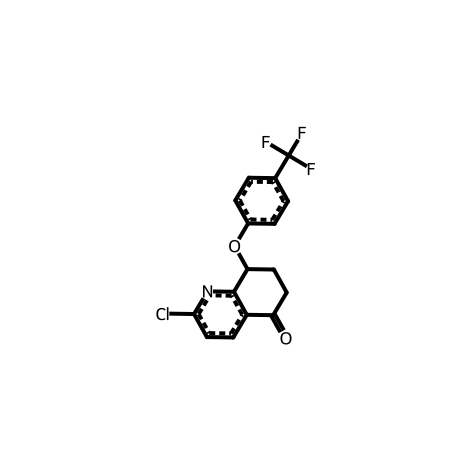 O=C1CCC(Oc2ccc(C(F)(F)F)cc2)c2nc(Cl)ccc21